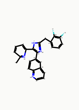 Cc1cccc(-c2[nH]c(Cc3cccc(F)c3F)nc2-c2ccc3ncccc3c2)n1